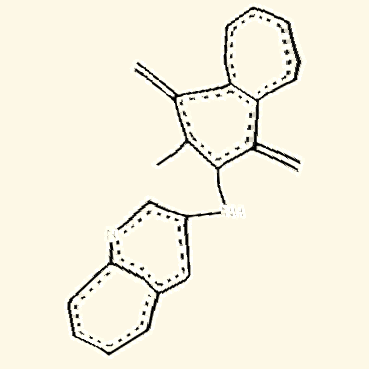 C=c1c(C)c(Nc2cnc3ccccc3c2)c(=C)c2ccccc12